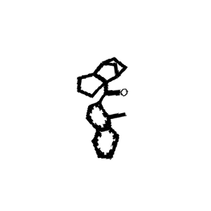 Cc1c(C(=O)C23CCCC2C2CCC3C2)ccc2ccccc12